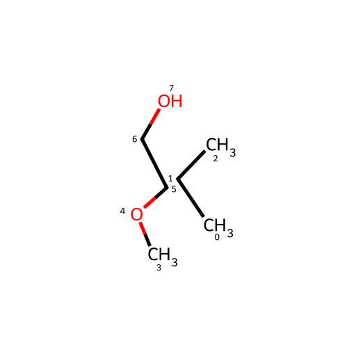 CCC.COCCO